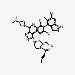 CC#CC(=O)N1CC[C@H](n2nnc3c(N4CC(N(C)C)C4)nc4c(F)c(-c5c(C)c(Cl)cc6[nH]ncc56)c(Cl)cc4c32)C[C@H]1CC#N